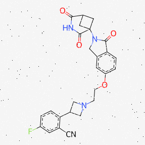 N#Cc1cc(F)ccc1C1CN(CCOc2ccc3c(c2)CN(C24CC(C2)C(=O)NC4=O)C3=O)C1